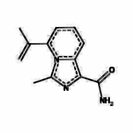 C=C(C)c1cccc2c(C(N)=O)nc(C)n12